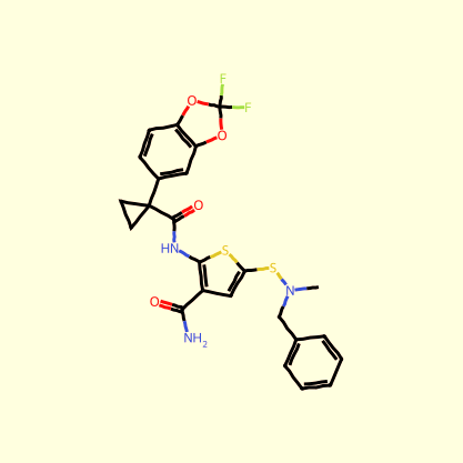 CN(Cc1ccccc1)Sc1cc(C(N)=O)c(NC(=O)C2(c3ccc4c(c3)OC(F)(F)O4)CC2)s1